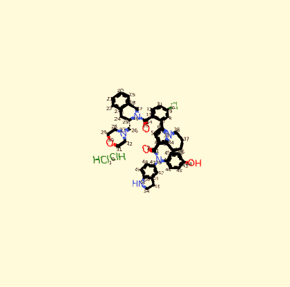 Cl.Cl.O=C(c1cc(-c2cc(Cl)ccc2C(=O)N2Cc3ccccc3C[C@H]2CN2CCOCC2)n2c1CCCC2)N(c1ccc(O)cc1)c1ccc2c(c1)CCN2